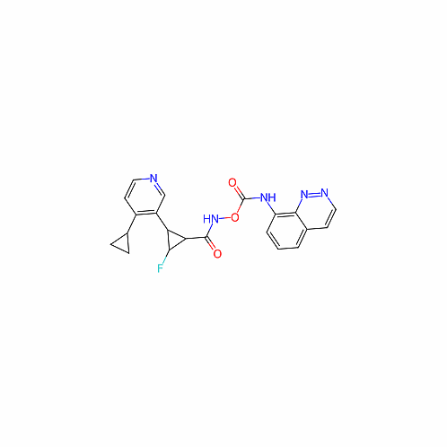 O=C(Nc1cccc2ccnnc12)ONC(=O)C1C(F)C1c1cnccc1C1CC1